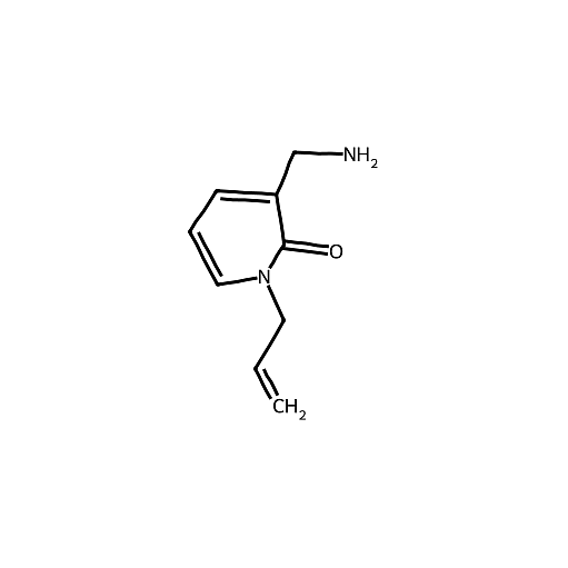 C=CCn1cccc(CN)c1=O